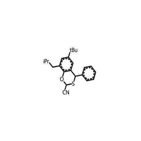 CC(C)Cc1cc(C(C)(C)C)cc2c1OC(C#N)SC2c1ccccc1